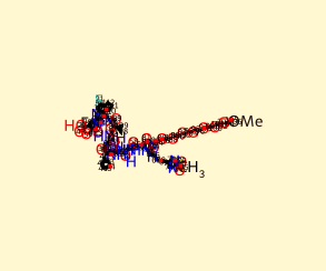 CC[C@@]1(O)C(=O)OCc2c1cc1n(c2=O)Cc2c-1nc1cc(F)c3c(c1c2CNC(=O)[C@@H](OCNC(=O)CNC(=O)[C@H](Cc1ccccc1)NC(=O)CNC(=O)CNC(=O)CC[C@H](NC(=O)CCCC#Cc1cnc(S(C)(=O)=O)nc1)C(=O)NCCOCCOCCOCCOCCOCCOCCOCCOC)C1CC1)CCC3